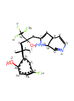 CC(C)(CC(O)(CC1=CC2C=CN=CC2N1)C(F)(F)F)c1cc(F)ccc1O